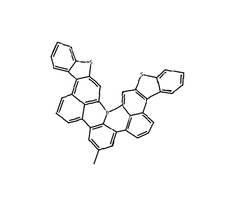 Cc1cc2c3c(c1)-c1cccc4c1c(cc1sc5ccccc5c14)B3c1cc3sc4ccccc4c3c3cccc-2c13